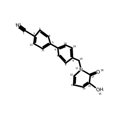 N#Cc1ccc(-c2ccc(Cn3cccc(O)c3=O)cc2)cc1